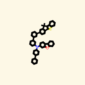 CC1(C)c2cc(-c3cccc(-c4cccc(N(c5ccc(-c6ccccc6)cc5)c5ccc6c(c5)oc5ccccc56)c4)c3)ccc2-c2sc3ccccc3c21